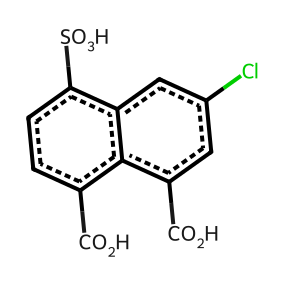 O=C(O)c1ccc(S(=O)(=O)O)c2cc(Cl)cc(C(=O)O)c12